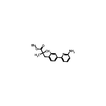 CC(C)(C)OC(=O)C(C)(C)Cc1ccc(-c2cccc(N)n2)cc1